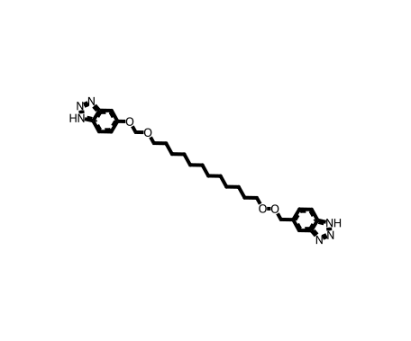 c1cc2[nH]nnc2cc1COOCCCCCCCCCCCCOCOc1ccc2[nH]nnc2c1